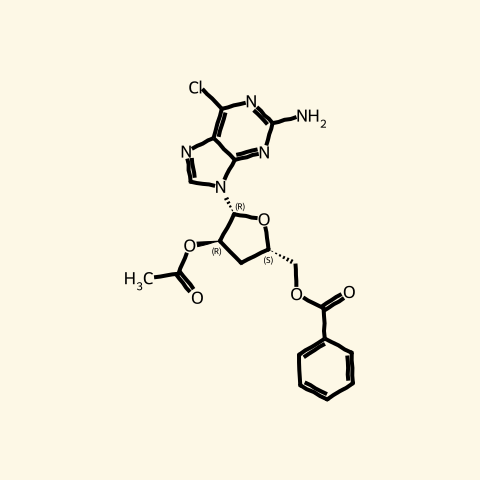 CC(=O)O[C@@H]1C[C@@H](COC(=O)c2ccccc2)O[C@H]1n1cnc2c(Cl)nc(N)nc21